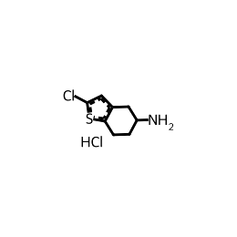 Cl.NC1CCc2sc(Cl)cc2C1